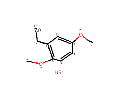 Br.COc1ccc(OC)c([CH2][Zn])c1